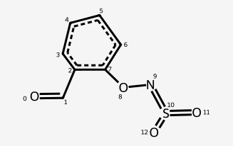 O=Cc1ccccc1ON=S(=O)=O